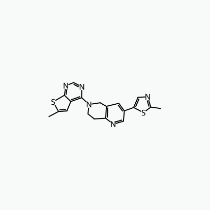 Cc1cc2c(N3CCc4ncc(-c5cnc(C)s5)cc4C3)ncnc2s1